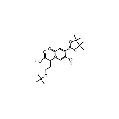 COc1cn(C(CCOC(C)(C)C)C(=O)O)c(=O)cc1B1OC(C)(C)C(C)(C)O1